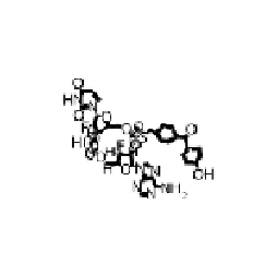 Nc1ncnc2c1ncn2[C@@H]1O[C@@H]2COP(=O)(O)O[C@@H]3C(COP(=O)(SCc4ccc(C(=O)c5ccc(O)cc5)cc4)O[C@@H]1[C@@H]2F)O[C@@H](n1ccc(=O)[nH]c1=O)[C@@H]3F